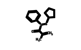 C=C(C)C(=O)N(SC1CCCC1)c1ccccc1